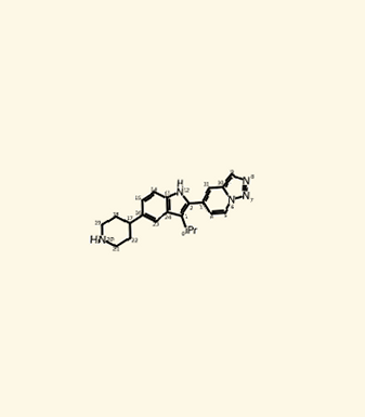 CC(C)c1c(-c2ccn3nncc3c2)[nH]c2ccc(C3CCNCC3)cc12